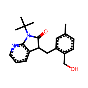 Cc1ccc(CO)c(CC2C(=O)N(C(C)(C)C)c3ncccc32)c1